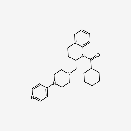 O=C(C1CCCCC1)N1c2ccccc2CCC1CN1CCN(c2ccncc2)CC1